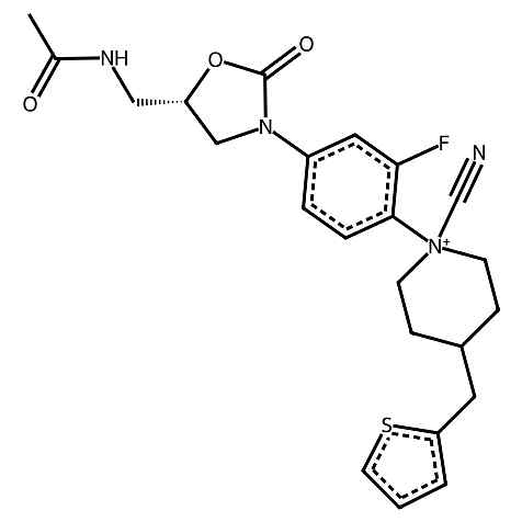 CC(=O)NC[C@H]1CN(c2ccc([N+]3(C#N)CCC(Cc4cccs4)CC3)c(F)c2)C(=O)O1